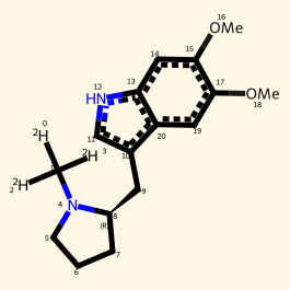 [2H]C([2H])([2H])N1CCC[C@@H]1Cc1c[nH]c2cc(OC)c(OC)cc12